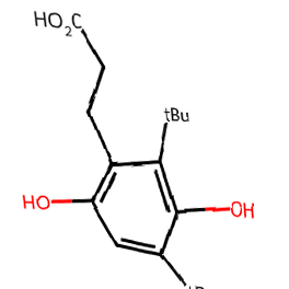 CC(C)(C)c1cc(O)c(CCC(=O)O)c(C(C)(C)C)c1O